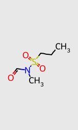 CCCS(=O)(=O)N(C)C=O